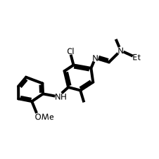 CCN(C)C=Nc1cc(C)c(Nc2ccccc2OC)cc1Cl